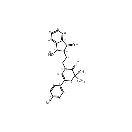 CC1(C)CC(c2ccc(Br)cc2)=NN(CCN2C(=O)c3ccccc3C2O)C1=O